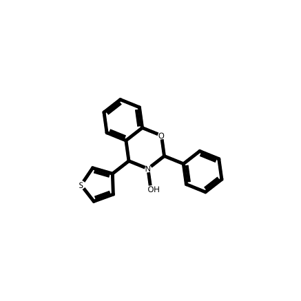 ON1C(c2ccccc2)Oc2ccccc2C1c1ccsc1